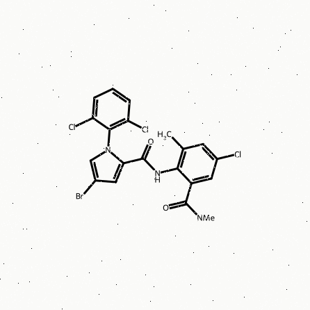 CNC(=O)c1cc(Cl)cc(C)c1NC(=O)c1cc(Br)cn1-c1c(Cl)cccc1Cl